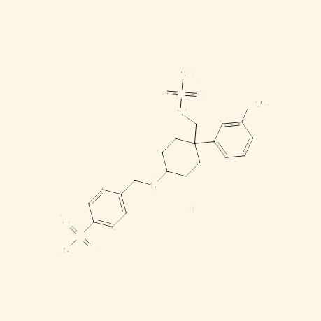 COc1cccc(C2(CNS(N)(=O)=O)CCC(NCc3ccc(S(N)(=O)=O)cc3)CC2)c1.Cl